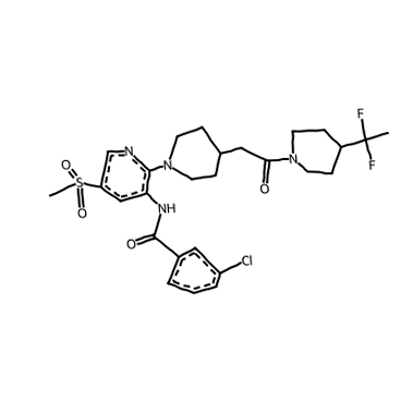 CC(F)(F)C1CCN(C(=O)CC2CCN(c3ncc(S(C)(=O)=O)cc3NC(=O)c3cccc(Cl)c3)CC2)CC1